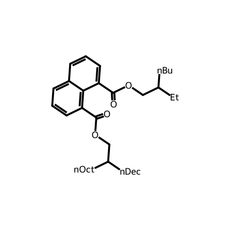 CCCCCCCCCCC(CCCCCCCC)COC(=O)c1cccc2cccc(C(=O)OCC(CC)CCCC)c12